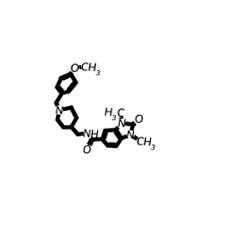 COc1ccc(CN2CCC(CNC(=O)c3ccc4c(c3)n(C)c(=O)n4C)CC2)cc1